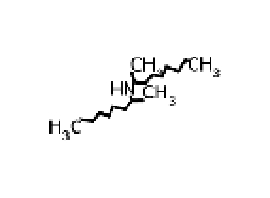 CCCCCCCC(CC)NC(CC)CCCCCCC